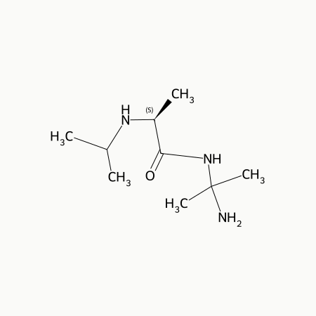 CC(C)N[C@@H](C)C(=O)NC(C)(C)N